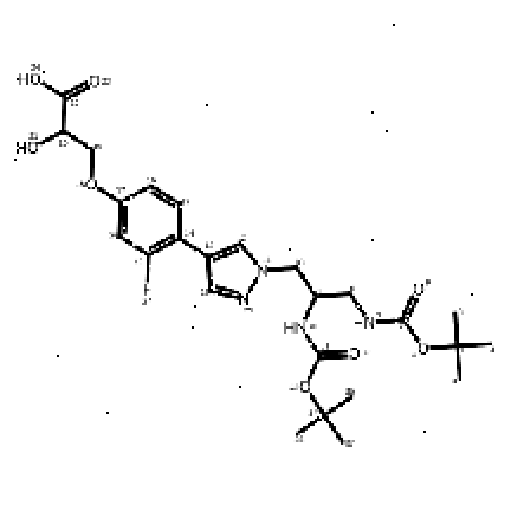 CC(C)(C)OC(=O)NCC(Cn1cc(-c2ccc(OCC(O)C(=O)O)cc2F)cn1)NC(=O)OC(C)(C)C